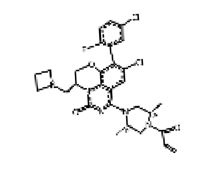 C=CC(=O)N1C[C@H](C)N(c2nc(=O)n3c4c(c(-c5cc(Cl)ccc5F)c(Cl)cc24)OCC3CN2CCC2)C[C@H]1C